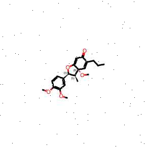 CCCC1=C[C@]2(OC)C(=CC1=O)O[C@H](c1ccc(OC)c(OC)c1)[C@@H]2C